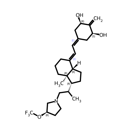 C=C1[C@H](O)C/C(=C/C=C2\CCC[C@]3(C)[C@@H](C(C)CN4CC[C@@H](OC(F)(F)F)C4)CC[C@@H]23)C[C@@H]1O